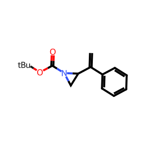 C=C(c1ccccc1)C1CN1C(=O)OC(C)(C)C